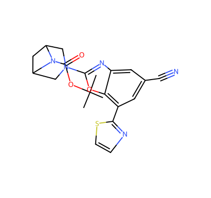 CC(C)(C)OC(=O)N1C2CC1CN(c1nc3cc(C#N)cc(-c4nccs4)c3o1)C2